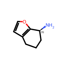 N[C@H]1CCCc2ccoc21